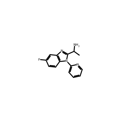 CC(N)c1nc2cc(F)ccc2n1-c1ccccn1